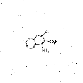 CCc1cc2ccccc2c(N)c1C(=O)O